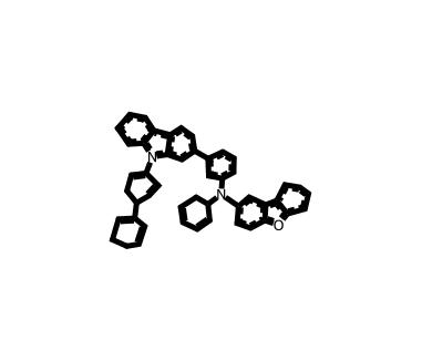 C1=CCC(N(c2cccc(-c3ccc4c5ccccc5n(C5=CCC(C6=CCCC=C6)C=C5)c4c3)c2)c2ccc3oc4ccccc4c3c2)C=C1